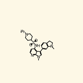 CC(C)N1CCC(S(=O)(=O)Nc2ccnc3c2c(-c2ccc4c(c2)N(C)CC4)cn3C)CC1